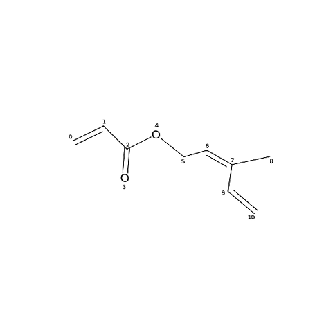 C=CC(=O)OCC=C(C)C=C